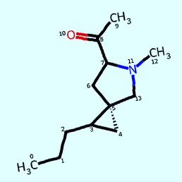 CCCC1C[C@@]12CC(C(C)=O)N(C)C2